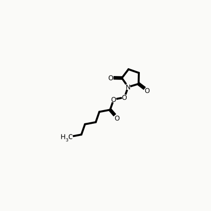 CCCCCC(=O)OON1C(=O)CCC1=O